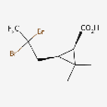 CC1(C)[C@H](C(=O)O)[C@@H]1CC(Br)(Br)C(F)(F)F